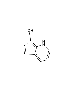 Oc1ccc2ccc[nH]c1-2